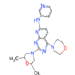 CC1CN(c2nc(N3CCOCC3)c3ccc(Nc4cccnc4)nc3n2)CC(C)O1